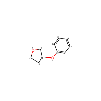 c1ccc(O[C@H]2CCOC2)cc1